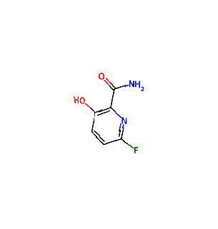 NC(=O)c1nc(F)ccc1O